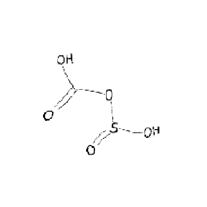 O=C(O)OS(=O)O